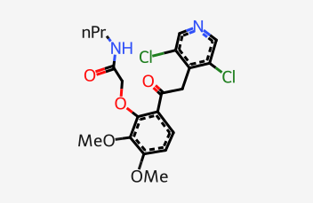 CCCNC(=O)COc1c(C(=O)Cc2c(Cl)cncc2Cl)ccc(OC)c1OC